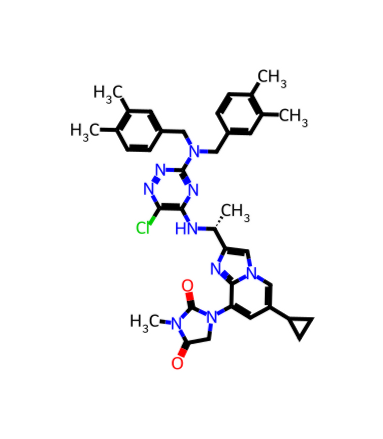 Cc1ccc(CN(Cc2ccc(C)c(C)c2)c2nnc(Cl)c(N[C@H](C)c3cn4cc(C5CC5)cc(N5CC(=O)N(C)C5=O)c4n3)n2)cc1C